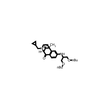 CCCCOCC(COCCCC)Nc1ccc2c(c1)[C@]1(C)CCN(CC3CC3)[C@H](C2=O)[C@@H]1C